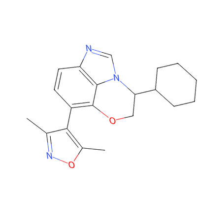 Cc1noc(C)c1-c1ccc2ncn3c2c1OCC3C1CCCCC1